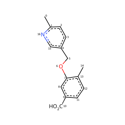 Cc1ccc(COc2cc(C(=O)O)ccc2C)cn1